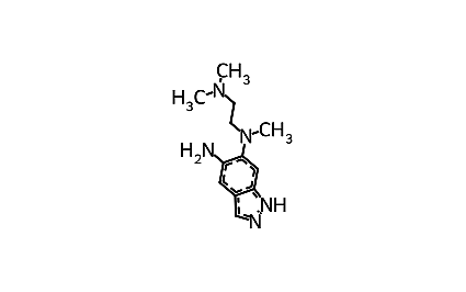 CN(C)CCN(C)c1cc2[nH]ncc2cc1N